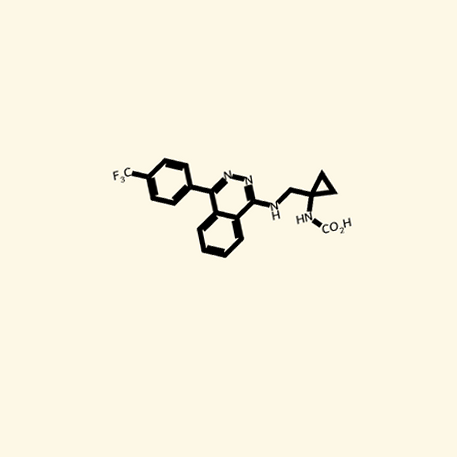 O=C(O)NC1(CNc2nnc(-c3ccc(C(F)(F)F)cc3)c3ccccc23)CC1